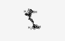 CCc1c(F)ccc2cc(O)cc(-c3ncc4c(N5CC6CCC(C5)N6)nc(OCC5(CN6CCC7(CC6)CN(CCc6ccc8c(c6)n(C)c(=O)n8C6CCC(=O)NC6=O)C7)CC5)nc4c3F)c12